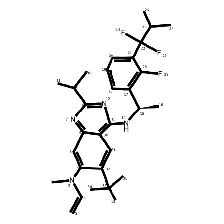 C=CN(C)c1cc2nc(C(C)C)nc(N[C@H](C)c3cccc(C(F)(F)C(C)C)c3F)c2cc1C(C)(C)C